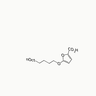 CCCCCCCCCCCCOc1ccc(C(=O)O)o1